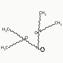 CCCCCCCCCCN(CCCCCCCCCC)C(=O)CCCCCCCN(CCCCCCCC(=O)N(CCCCCCCCCC)CCCCCCCCCC)Cc1ccccc1